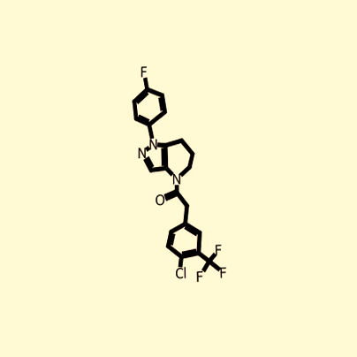 O=C(Cc1ccc(Cl)c(C(F)(F)F)c1)N1CCCc2c1cnn2-c1ccc(F)cc1